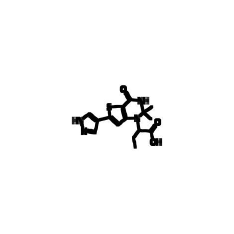 CCC(C(=O)O)N1c2cc(-c3cn[nH]c3)sc2C(=O)NC1(C)C